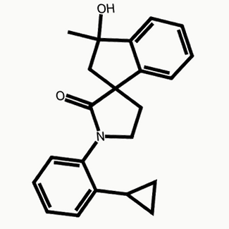 CC1(O)CC2(CCN(c3ccccc3C3CC3)C2=O)c2ccccc21